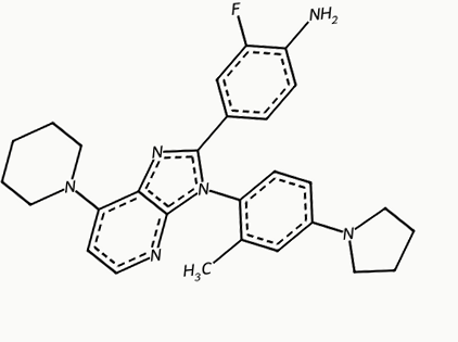 Cc1cc(N2CCCC2)ccc1-n1c(-c2ccc(N)c(F)c2)nc2c(N3CCCCC3)ccnc21